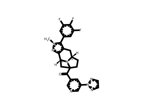 Cn1nc2c(c1-c1cc(F)c(F)c(F)c1)C[C@@H]1CCC3(C(=O)c4cncc(-n5nccn5)c4)C[C@H]2N13